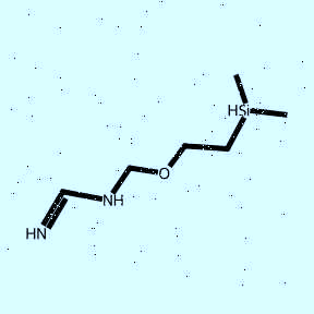 C[SiH](C)CCOCNC=N